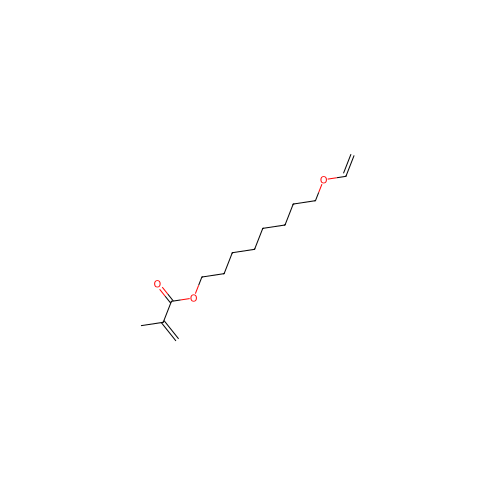 C=COCCCCCCCCOC(=O)C(=C)C